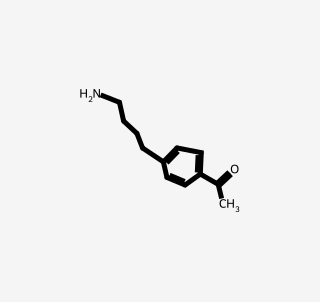 CC(=O)c1ccc(CCCCN)cc1